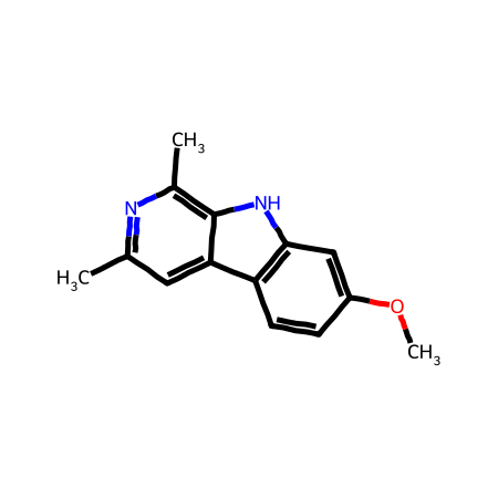 COc1ccc2c(c1)[nH]c1c(C)nc(C)cc12